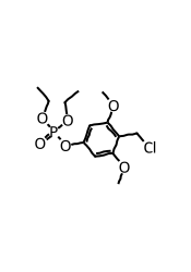 CCOP(=O)(OCC)Oc1cc(OC)c(CCl)c(OC)c1